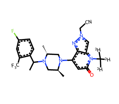 [2H]C([2H])([2H])n1c(=O)cc(N2C[C@@H](C)N(C(C)c3ccc(F)cc3C(F)(F)F)C[C@@H]2C)c2nn(CC#N)cc21